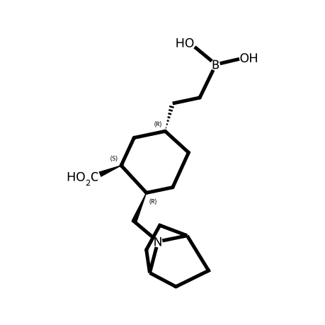 O=C(O)[C@H]1C[C@H](CCB(O)O)CC[C@H]1CN1C2CCC1CC2